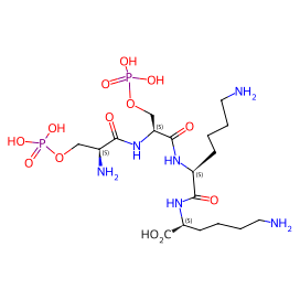 NCCCC[C@H](NC(=O)[C@H](CCCCN)NC(=O)[C@H](COP(=O)(O)O)NC(=O)[C@@H](N)COP(=O)(O)O)C(=O)O